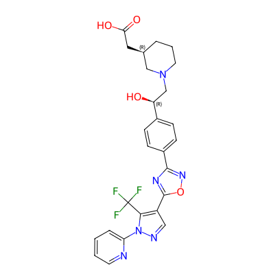 O=C(O)C[C@H]1CCCN(C[C@H](O)c2ccc(-c3noc(-c4cnn(-c5ccccn5)c4C(F)(F)F)n3)cc2)C1